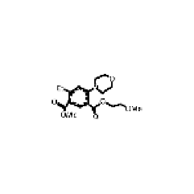 CCc1cc(N2CCOCC2)c(C(=O)OCCOC)cc1C(=O)OC